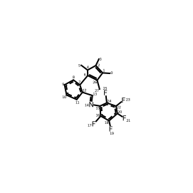 CC1=C(C)C(C)C(c2ccccc2C=Nc2c(F)c(F)c(F)c(F)c2F)=C1C